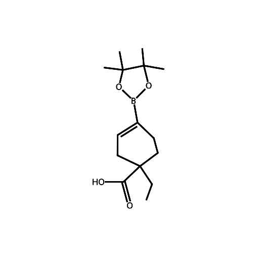 CCC1(C(=O)O)CC=C(B2OC(C)(C)C(C)(C)O2)CC1